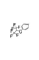 FC(F)(F)C(Oc1ccccc1)C(F)(F)F